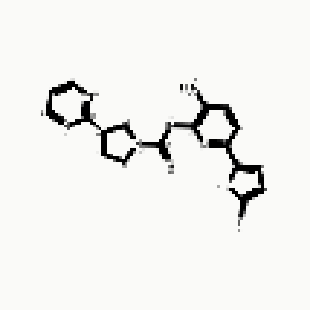 Nc1ccc(-c2ccc(F)s2)nc1NC(=O)N1CC[C@@H](c2ncccn2)C1